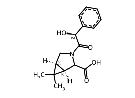 CC1(C)[C@@H]2C(C(=O)O)N(C(=O)[C@@H](O)c3ccccc3)C[C@@H]21